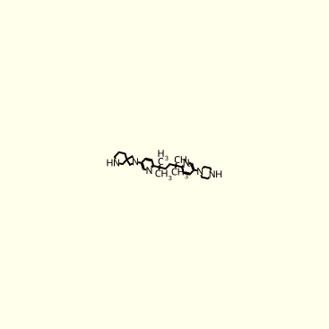 CC(C)(CCC(C)(C)c1ccc(N2CC3(CCCNC3)C2)cn1)c1ccc(N2CCNCC2)cn1